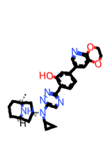 C[C@]12CCC[C@H](C[C@@H](N(c3cnc(-c4ccc(-c5cnc6c(c5)OCCO6)cc4O)nn3)C3CC3)C1)N2